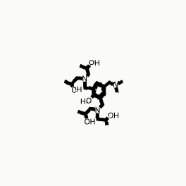 CC(O)CN(Cc1cc(CN(C)C)cc(CN(CC(C)O)CC(C)O)c1O)CC(C)O